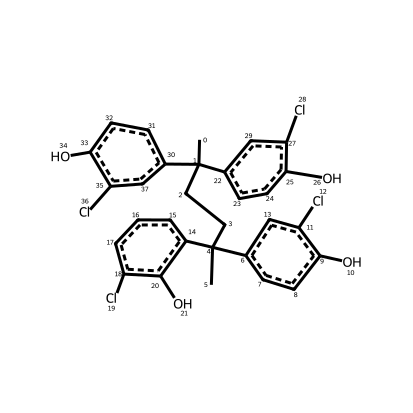 CC(CCC(C)(c1ccc(O)c(Cl)c1)c1cccc(Cl)c1O)(c1ccc(O)c(Cl)c1)c1ccc(O)c(Cl)c1